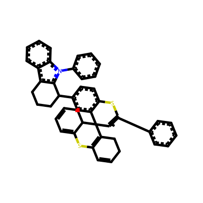 C1=CCC2C(=C1)SC1=C(CCC=C1)C21C2=C(CC(c3ccccc3)C=C2)Sc2ccc(C3CCCc4c3n(-c3ccccc3)c3ccccc43)cc21